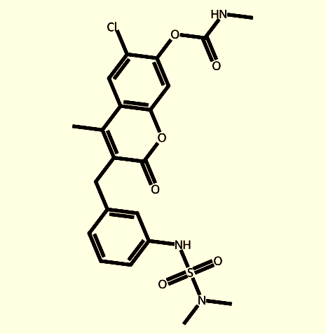 CNC(=O)Oc1cc2oc(=O)c(Cc3cccc(NS(=O)(=O)N(C)C)c3)c(C)c2cc1Cl